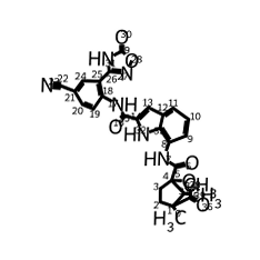 CC12CCC(C(=O)Nc3cccc4cc(C(=O)Nc5ccc(C#N)cc5-c5noc(=O)[nH]5)[nH]c34)(OC1=O)C2(C)C